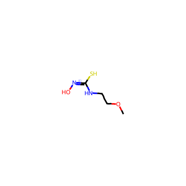 COCCN/C(S)=N\O